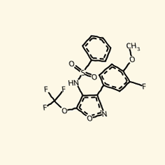 COc1ccc(-c2noc(OC(F)(F)F)c2NS(=O)(=O)c2ccccc2)cc1F